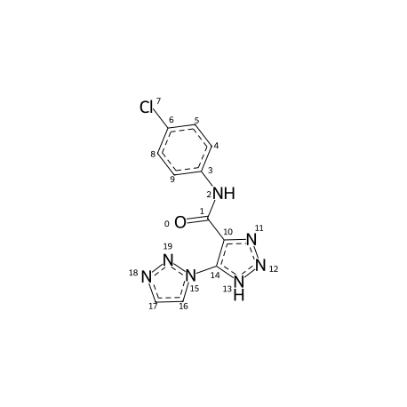 O=C(Nc1ccc(Cl)cc1)c1nn[nH]c1-n1ccnn1